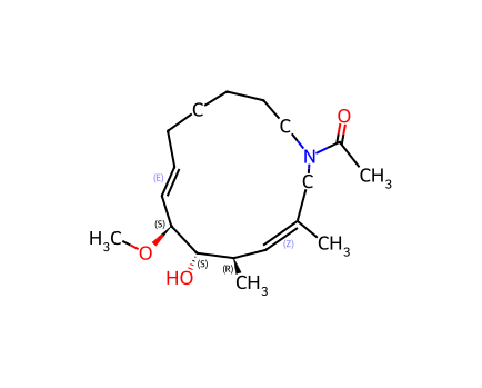 CO[C@H]1/C=C/CCCCCN(C(C)=O)C/C(C)=C\[C@@H](C)[C@@H]1O